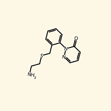 NCCSCc1ccccc1-n1ncccc1=O